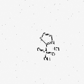 Cl.O=S(=O)(O)c1nccs1